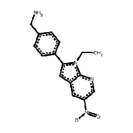 CCn1c(-c2ccc(CN)cc2)cc2cc([N+](=O)[O-])cnc21